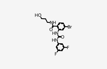 O=C(Nc1cc(F)cc(F)c1)Nc1cc(Br)ccc1C(=O)NCCCO